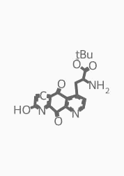 CC(C)(C)OC(=O)C(N)Cc1ccnc2c1C(=O)c1ccc(O)nc1C2=O